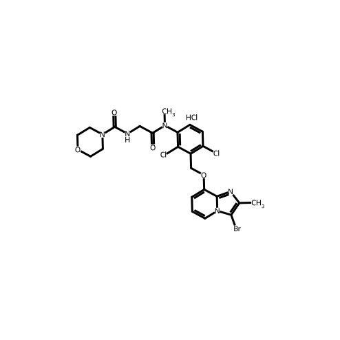 Cc1nc2c(OCc3c(Cl)ccc(N(C)C(=O)CNC(=O)N4CCOCC4)c3Cl)cccn2c1Br.Cl